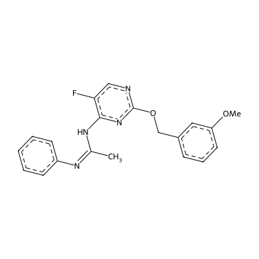 COc1cccc(COc2ncc(F)c(N/C(C)=N\c3ccccc3)n2)c1